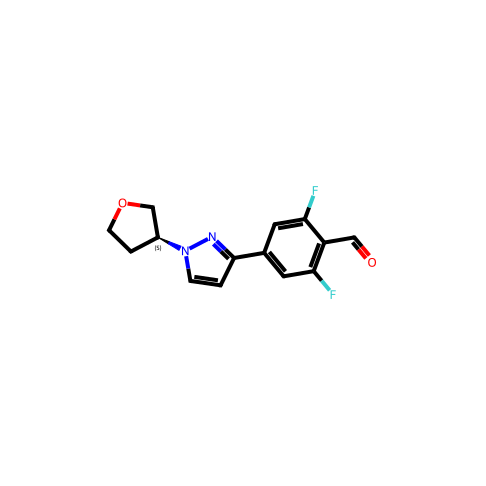 O=Cc1c(F)cc(-c2ccn([C@H]3CCOC3)n2)cc1F